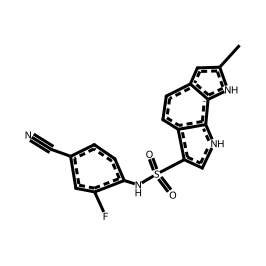 Cc1cc2ccc3c(S(=O)(=O)Nc4ccc(C#N)cc4F)c[nH]c3c2[nH]1